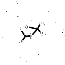 CC(C)(C)NC(F)F